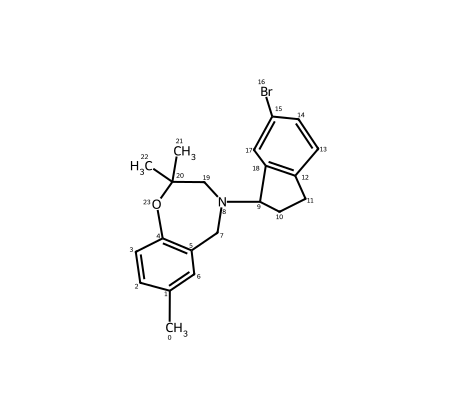 Cc1ccc2c(c1)CN(C1CCc3ccc(Br)cc31)CC(C)(C)O2